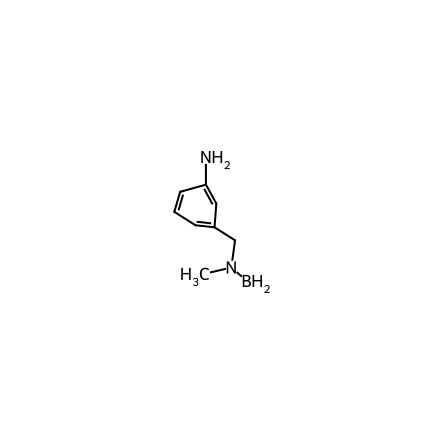 BN(C)Cc1cccc(N)c1